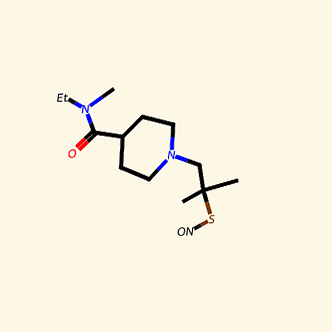 [CH2]CN(C)C(=O)C1CCN(CC(C)(C)SN=O)CC1